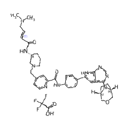 CN(C)C/C=C/C(=O)N[C@@H]1CCCN(Cc2ccnc(C(=O)Nc3ccc(-c4cc5c(N6[C@@H]7CC[C@H]6COC7)ncnc5[nH]4)cc3)c2)C1.O=C(O)C(F)(F)F